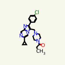 CCC(=O)N1CCN(Cc2c(-c3ccc(Cl)cc3)nc3cnc(C4CC4)cn23)CC1